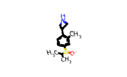 Cc1cc([S+]([O-])C(C)C)ccc1C1CNC1